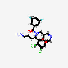 NCCC[C@H](c1cccc(Cl)c1Cl)N(Cc1cccnc1)C(=O)c1cc(F)cc(F)c1